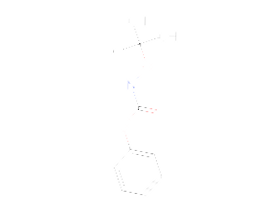 CC(C)(C)ONC(=O)Oc1ccccc1